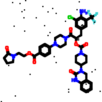 Nc1c(Cl)cc(C[C@@H](OC(=O)N2CCC(N3Cc4ccccc4NC3=O)CC2)C(=O)N2CCN(c3ccc(C(=O)OCCN4CCCC4=O)cc3)CC2)cc1C(F)(F)F